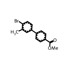 COC(=O)c1ccc(-c2ccc(Br)c(C)c2)cc1